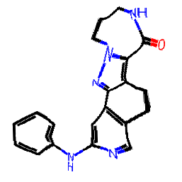 O=C1NCCCn2nc3c(c21)CCc1cnc(Nc2ccccc2)cc1-3